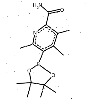 Cc1nc(C(N)=O)c(C)c(C)c1B1OC(C)(C)C(C)(C)O1